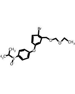 CCOCOCc1cc(Oc2ccc([S+]([O-])C(C)C)cc2)ccc1Br